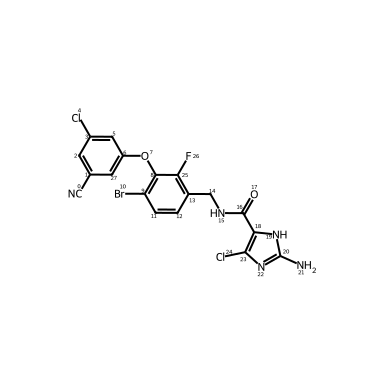 N#Cc1cc(Cl)cc(Oc2c(Br)ccc(CNC(=O)c3[nH]c(N)nc3Cl)c2F)c1